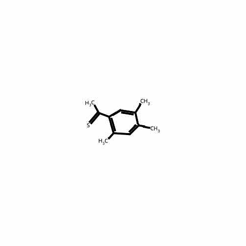 CC(=S)c1cc(C)c(C)cc1C